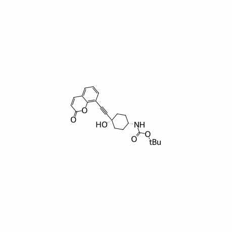 CC(C)(C)OC(=O)N[C@H]1CC[C@](O)(C#Cc2cccc3ccc(=O)oc23)CC1